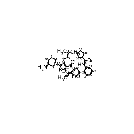 CC(C)=CCn1c(N2CCCC(N)C2)nc2c1c(=O)n(CC(=O)c1ccccc1NC(=O)C1CCCC1)c(=O)n2C